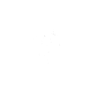 O=C(c1cc(Cl)cc([N+](=O)[O-])c1O)C(Cl)Cl